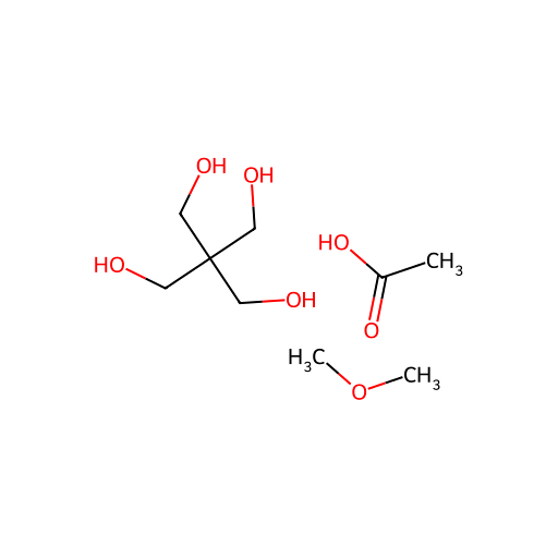 CC(=O)O.COC.OCC(CO)(CO)CO